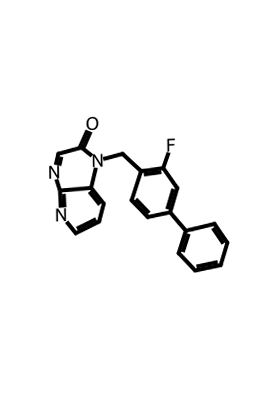 O=c1cnc2ncccc2n1Cc1ccc(-c2ccccc2)cc1F